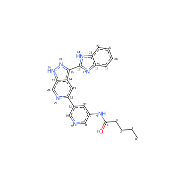 CCCCC(=O)Nc1cncc(-c2cc3c(-c4nc5ccccc5[nH]4)n[nH]c3cn2)c1